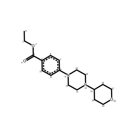 CCOC(=O)c1ccc(N2CCN(C3CCOCC3)CC2)cc1